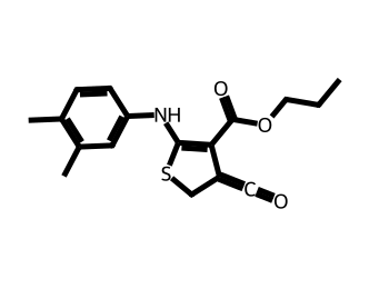 CCCOC(=O)C1=C(Nc2ccc(C)c(C)c2)SCC1=C=O